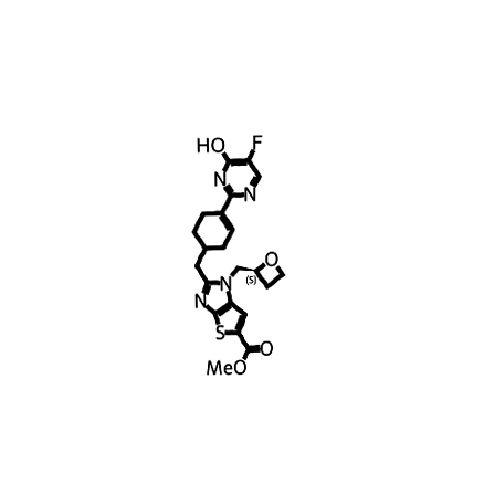 COC(=O)c1cc2c(nc(CC3CC=C(c4ncc(F)c(O)n4)CC3)n2C[C@@H]2CCO2)s1